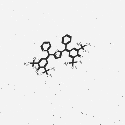 CC(C)(C)C1=CC(=C(c2ccccc2)c2ccc(C(=C3C=C(C(C)(C)C)C(=O)C(C(C)(C)C)=C3)c3ccccc3)s2)C=C(C(C)(C)C)C1=O